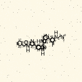 CN(C)CCNc1cc(F)cc(-c2nccc3[nH]c(-c4n[nH]c5ccc(-c6cncc(NC(=O)CC7CCCCC7)c6)cc45)cc23)c1